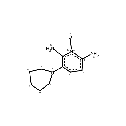 Nc1ccc(N2CCCCC2)c(N)[n+]1[O-]